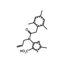 C=CCN(C(=O)Cc1c(C)cc(C)cc1C)c1nc(C)sc1C(=O)O